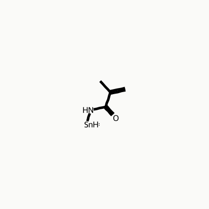 C=C(C)C(=O)[NH][SnH]